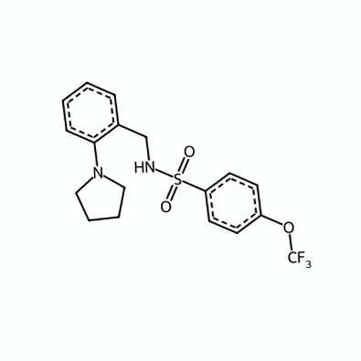 O=S(=O)(NCc1ccccc1N1CCCC1)c1ccc(OC(F)(F)F)cc1